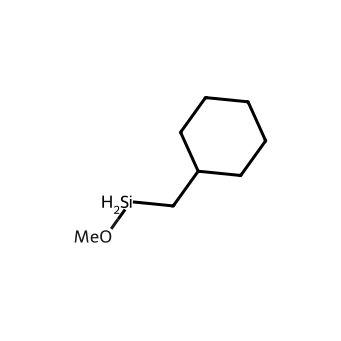 CO[SiH2]CC1CCCCC1